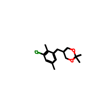 Cc1cc(Cl)c(C)c(CC2COC(C)(C)OC2)c1